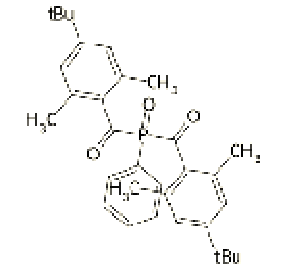 Cc1cc(C(C)(C)C)cc(C)c1C(=O)P(=O)(C(=O)c1c(C)cc(C(C)(C)C)cc1C)c1ccccc1